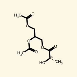 CC(=O)OCC(COC(=O)[C@H](C)O)OC(C)=O